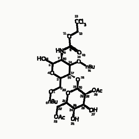 CCCCOCC1OC(O)[C@@H](NC(=O)OCC(Cl)(Cl)Cl)C(OCCCC)[C@@H]1O[C@@H]1OC(COC(C)=O)[C@H](O)C(O)[C@@H]1OC(C)=O